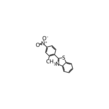 Cc1cc([N+](=O)[O-])ccc1-c1nc2ccccc2s1